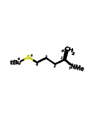 C=C(CCCSC(C)(C)C)NC